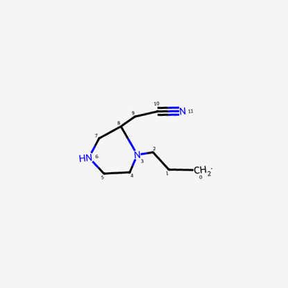 [CH2]CCN1CCNCC1CC#N